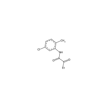 CCC(=O)C(=O)Nc1cc(Cl)ccc1C